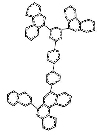 c1ccc2cc(-c3nc4ccccc4c4c3cc(-c3ccc(-c5ccc(-c6nc(-c7cc8ccccc8c8ccccc78)cc(-c7cc8ccccc8c8ccccc78)n6)cc5)cc3)c3ccccc34)ccc2c1